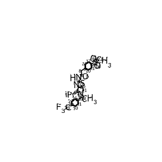 CC(C)[C@@H]1c2nc(NC(=O)Cc3ccc(S(C)(=O)=O)cc3)sc2CN1[C@H](C)c1ccc(C(F)(F)F)cc1